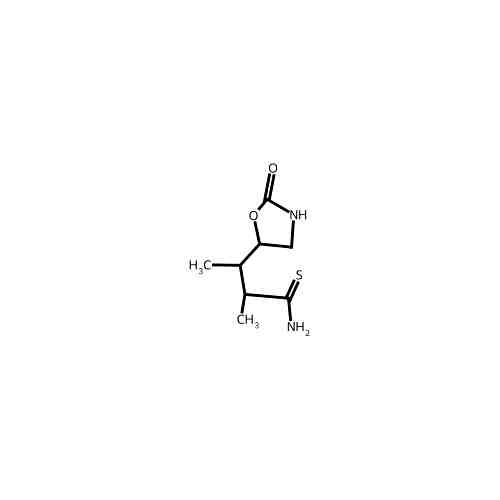 CC(C(N)=S)C(C)C1CNC(=O)O1